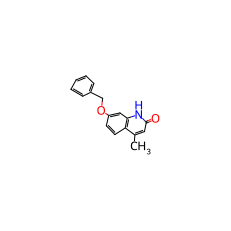 Cc1cc(=O)[nH]c2cc(OCc3ccccc3)ccc12